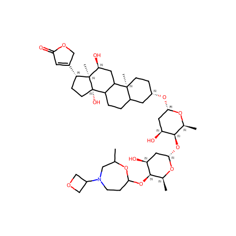 CC1CN(C2COC2)CCC(O[C@@H]2[C@H](C)O[C@@H](O[C@@H]3[C@H](C)O[C@@H](O[C@H]4CC[C@@]5(C)C(CCC6C5C[C@H](O)[C@]5(C)[C@@H](C7=CC(=O)OC7)CC[C@]65O)C4)C[C@@H]3O)C[C@@H]2O)O1